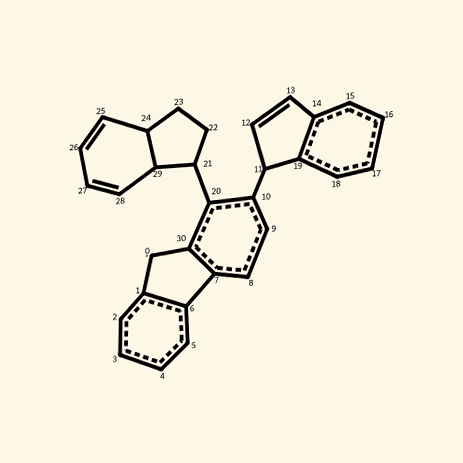 [CH]1c2ccccc2-c2ccc(C3C=Cc4ccccc43)c(C3CCC4C=CC=CC43)c21